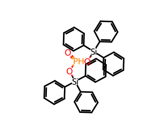 O=[PH](O[Si](c1ccccc1)(c1ccccc1)c1ccccc1)O[Si](c1ccccc1)(c1ccccc1)c1ccccc1